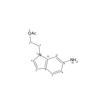 CC(=O)OCCn1ccc2ccc(N)cc21